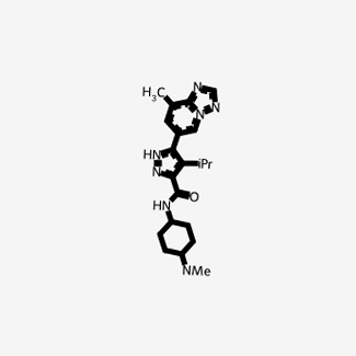 CNC1CCC(NC(=O)c2n[nH]c(-c3cc(C)c4ncnn4c3)c2C(C)C)CC1